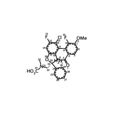 COc1ccc(C(N)=O)c(-c2c(Cl)c(F)cc3c2[C@H](C)[C@@](CN(C)C(=O)O)(c2ccccc2)O3)c1F